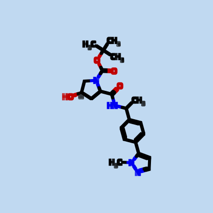 CC(NC(=O)C1C[C@@H](O)CN1C(=O)OC(C)(C)C)c1ccc(-c2ccnn2C)cc1